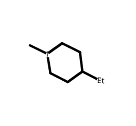 CCC1CCI(C)CC1